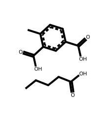 CCCCC(=O)O.Cc1ccc(C(=O)O)cc1C(=O)O